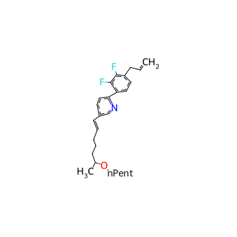 C=CCc1ccc(-c2ccc(/C=C/CCCC(C)OCCCCC)cn2)c(F)c1F